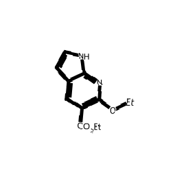 CCOC(=O)c1cc2cc[nH]c2nc1OCC